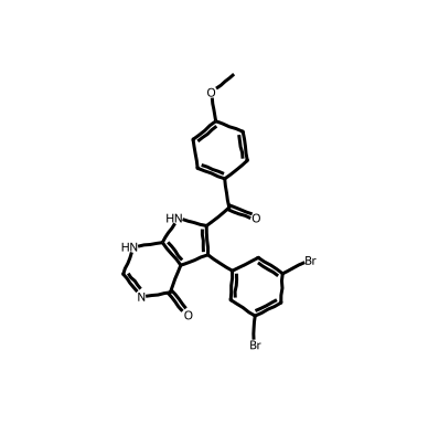 COc1ccc(C(=O)c2[nH]c3[nH]cnc(=O)c3c2-c2cc(Br)cc(Br)c2)cc1